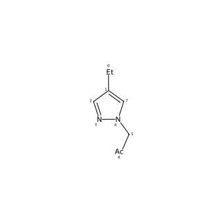 CCc1cnn(CC(C)=O)c1